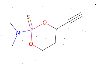 C#CC1CCOP(=S)(N(C)C)O1